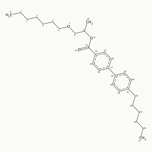 CCCCCCCOCC(C)OC(=O)c1ccc(-c2ccc(CCCCCC)cc2)cc1